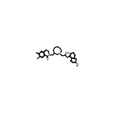 COc1ccc2c(CC(O)CN3CCCCCC(CN4CCc5cc(C)c(C)cc5C4=O)C3)cccc2c1